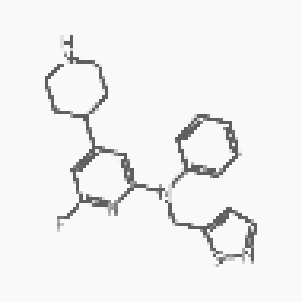 Fc1cc(C2CCNCC2)cc(N(Cc2ccns2)c2ccccc2)n1